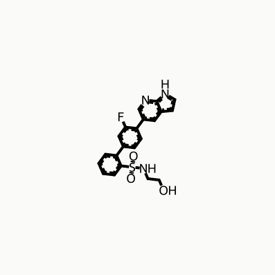 O=S(=O)(NCCO)c1ccccc1-c1ccc(-c2cnc3[nH]ccc3c2)c(F)c1